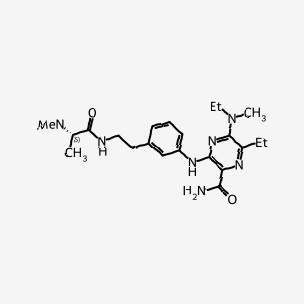 CCc1nc(C(N)=O)c(Nc2cccc(CCNC(=O)[C@H](C)NC)c2)nc1N(C)CC